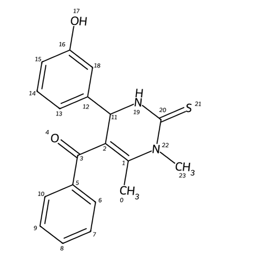 CC1=C(C(=O)c2ccccc2)C(c2cccc(O)c2)NC(=S)N1C